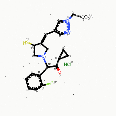 Cl.O=C(O)Cn1cc(/C=C2\CN(C(C(=O)C3CC3)c3ccccc3F)CC2S)cn1